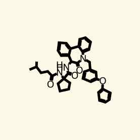 CC(C)CCC(=O)NC1(C(=O)NC2C(=O)N(Cc3cccc(Oc4ccccc4)c3)c3ccccc3-c3ccccc32)CCCC1